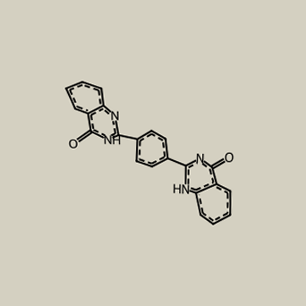 O=c1[nH]c(-c2ccc(-c3nc(=O)c4ccccc4[nH]3)cc2)nc2ccccc12